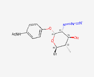 CC[C@H]1O[C@H](Oc2ccc(NC(C)=O)cc2)[C@H](N=[N+]=[N-])[C@@H](O)[C@@H]1C